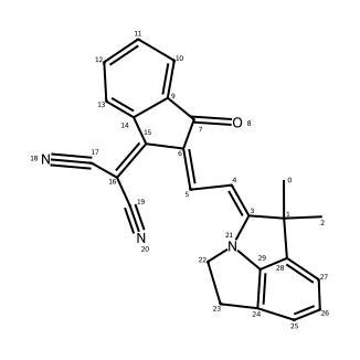 CC1(C)C(=CC=C2C(=O)c3ccccc3C2=C(C#N)C#N)N2CCc3cccc1c32